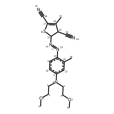 COCCN(CCOC)c1ccc(/N=N/C2SC(C#N)=C(C)C2C#N)c(C)c1